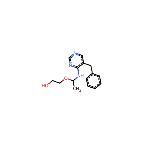 CC(Nc1ncncc1Cc1ccccc1)OCCO